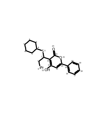 CC(C)CC(SC1CCCCC1)c1c(O)cc(-c2ccccc2)oc1=O